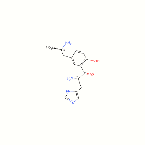 N[C@@H](Cc1ccc(O)c(C(=O)[C@@H](N)Cc2cnc[nH]2)c1)C(=O)O